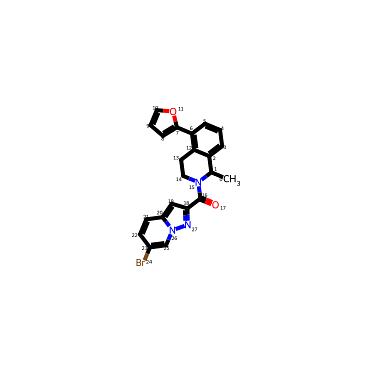 CC1c2cccc(-c3ccco3)c2CCN1C(=O)c1cc2ccc(Br)cn2n1